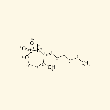 CCCCCC=C1NS(=O)(=O)OCCC1O